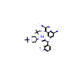 CC(C)(C)CNc1c(C#N)cnc2c(C#N)cc(NC(c3cn(C4CCN(C(C)(C)C)CC4)nn3)c3cccc4ncsc34)cc12